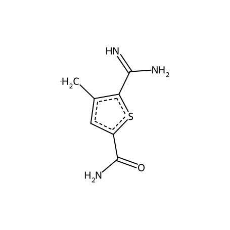 [CH2]c1cc(C(N)=O)sc1C(=N)N